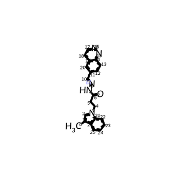 Cc1cn(CCC(=O)N/N=C/c2ccc3nnccc3c2)c2ccccc12